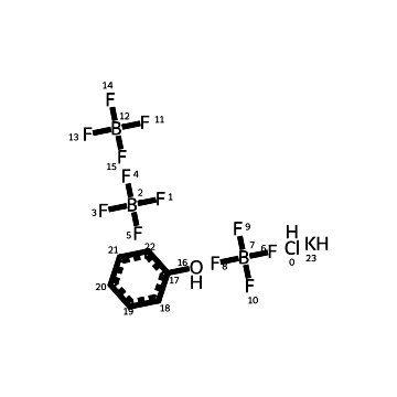 Cl.F[B-](F)(F)F.F[B-](F)(F)F.F[B-](F)(F)F.Oc1ccccc1.[KH]